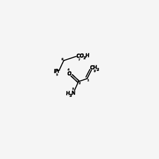 C=CC(N)=O.CC(C)CC(=O)O